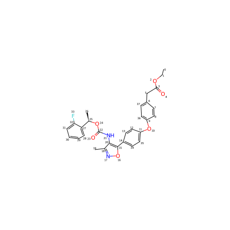 CCOC(=O)Cc1ccc(Oc2ccc(-c3onc(C)c3NC(=O)O[C@H](C)c3ccccc3F)cc2)cc1